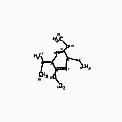 CCC1N=C(OC)[C@@H](C(C)C)N=C1OC